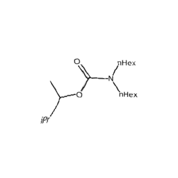 CCCCCCN(CCCCCC)C(=O)OC(C)C(C)C